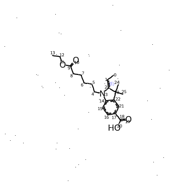 C/C=C1/N(CCCCCC(=O)OCC)c2ccc(C(=O)O)cc2C1(C)C